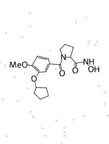 COc1ccc(C(=O)N2CCCC2C(=O)NO)cc1OC1CCCC1